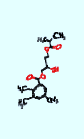 C=C(C)C(=O)OCCC(O)COC(=O)c1cc(C)cc(C)c1C